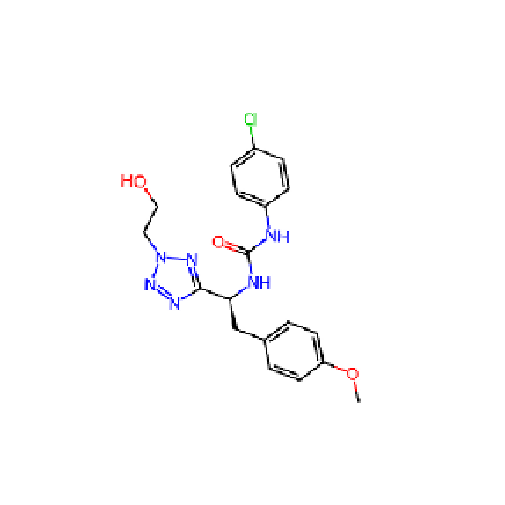 COc1ccc(C[C@H](NC(=O)Nc2ccc(Cl)cc2)c2nnn(CCO)n2)cc1